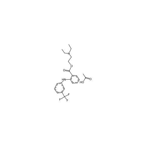 CC(=O)O.CCN(CC)CCOC(=O)c1ccccc1Nc1cccc(C(F)(F)F)c1